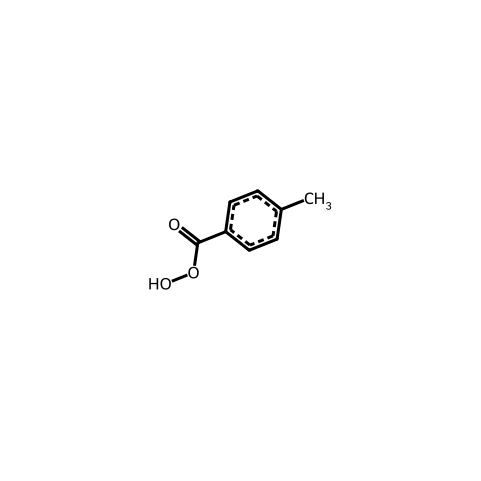 Cc1ccc(C(=O)OO)cc1